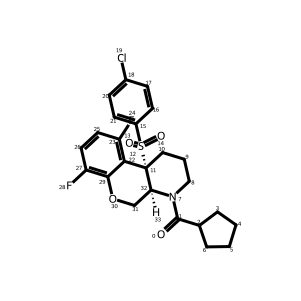 O=C(C1CCCC1)N1CCC[C@]2(S(=O)(=O)c3ccc(Cl)cc3)c3c(F)ccc(F)c3OC[C@H]12